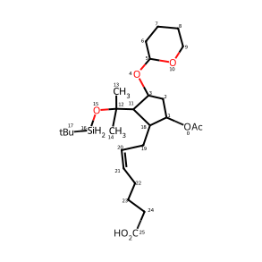 CC(=O)OC1CC(OC2CCCCO2)C(C(C)(C)O[SiH2]C(C)(C)C)C1C/C=C\CCCC(=O)O